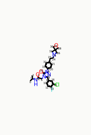 CC(C)NC(=O)Cn1c(-c2ccc(F)c(Cl)c2)nn(-c2ccc(CCN3CC4(COC4)C3)cc2)c1=O